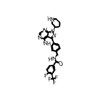 Nc1ncnc2c1c(-c1ccc(CNC(=O)c3ccc(F)c(C(F)(F)F)c3)cc1)nn2[C@@H]1CCCNC1